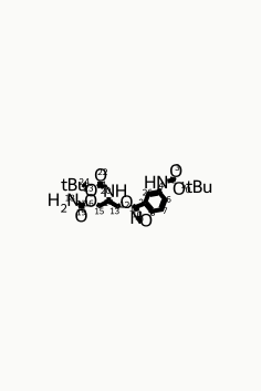 CC(C)(C)OC(=O)Nc1ccc2onc(OCC(COC(N)=O)NC(=O)OC(C)(C)C)c2c1